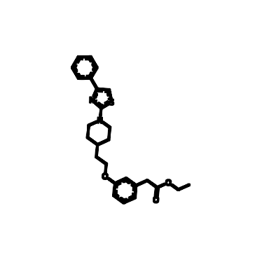 CCOC(=O)Cc1cccc(OCCC2CCN(c3nc(-c4ccccc4)cs3)CC2)c1